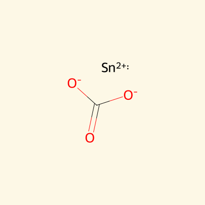 O=C([O-])[O-].[Sn+2]